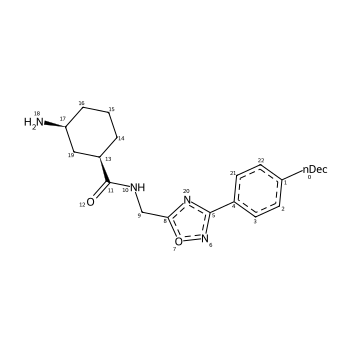 CCCCCCCCCCc1ccc(-c2noc(CNC(=O)[C@@H]3CCC[C@H](N)C3)n2)cc1